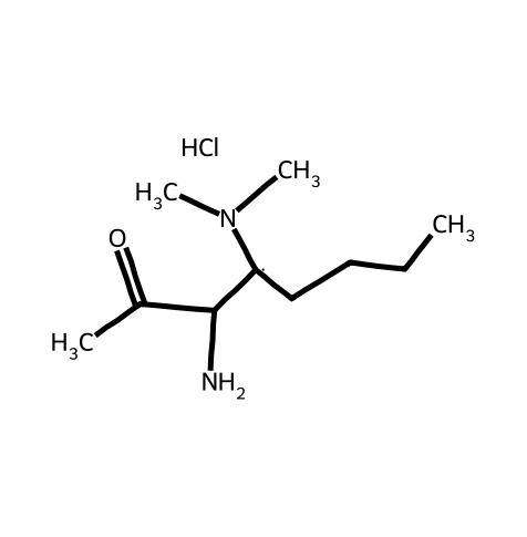 CCCC[C](C(N)C(C)=O)N(C)C.Cl